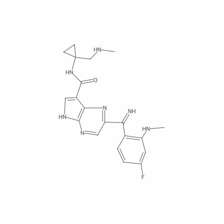 CNCC1(NC(=O)c2c[nH]c3ncc(C(=N)c4ccc(F)cc4NC)nc23)CC1